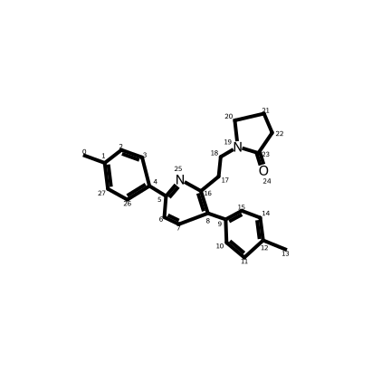 Cc1ccc(-c2ccc(-c3ccc(C)cc3)c(CCN3CCCC3=O)n2)cc1